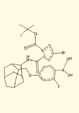 CC(C)(C)OC(=O)n1cc(Br)cc1C(=O)NC1C2CC3CC(C2)C(COc2ccc(B(O)O)c(F)c2)C1C3